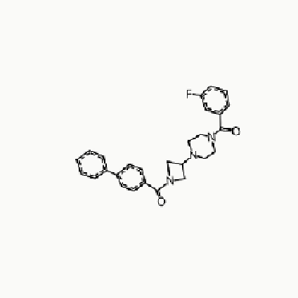 O=C(c1cccc(F)c1)N1CCN(C2CN(C(=O)c3ccc(-c4ccccc4)cc3)C2)CC1